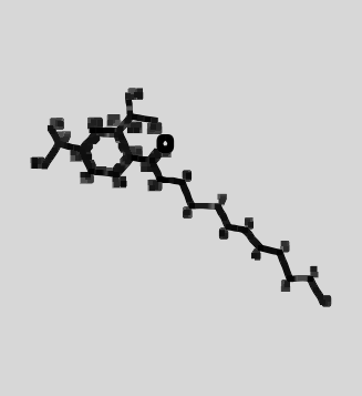 CCCCCCCCCCCC(=O)c1ccc(C(C)C)[c]c1C(C)C